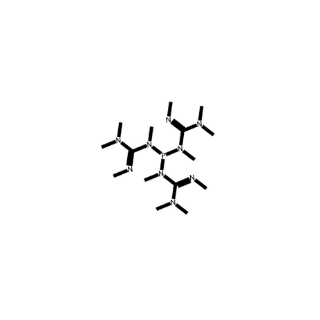 CN=C(N(C)C)N(C)P(N(C)C(=NC)N(C)C)N(C)C(=NC)N(C)C